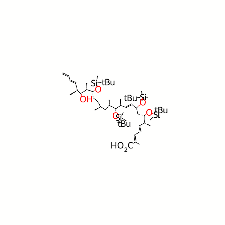 C=CC=C[C@H](C)[C@H](O)[C@@H](C)[C@@H](CC[C@H](C)C[C@@H](C)[C@@H](O[Si](C)(C)C(C)(C)C)[C@@H](C)C=C[C@H](C[C@H](O[Si](C)(C)C(C)(C)C)[C@@H](C)C=CC=C(C)C(=O)O)O[Si](C)(C)C(C)(C)C)O[Si](C)(C)C(C)(C)C